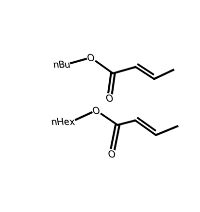 C/C=C/C(=O)OCCCC.C/C=C/C(=O)OCCCCCC